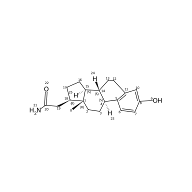 C[C@]12CC[C@@H]3c4ccc(O)cc4CC[C@H]3[C@@H]1CC[C@@H]2CC(N)=O